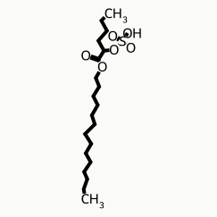 CCCCCCCCCCCCCCOC(=O)C(CCCC)OS(=O)(=O)O